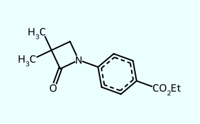 CCOC(=O)c1ccc(N2CC(C)(C)C2=O)cc1